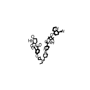 CCN(CC1CCN(c2ccc(C(=O)NC3C(C)(C)C(Oc4ccc(C#N)c5ncccc45)C3(C)C)cn2)CC1)C1CC(Oc2ccc3c(c2)C(=O)N(C2CCC(=O)NC2=O)C3=O)C1